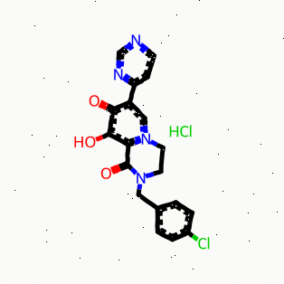 Cl.O=C1c2c(O)c(=O)c(-c3ccncn3)cn2CCN1Cc1ccc(Cl)cc1